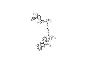 C[C@@H](CCCCCCCC[C@H](C)NC(=N)NC(=O)c1nc(Cl)c(N)nc1N)NCC(O)c1ccc(O)c(NC=O)c1